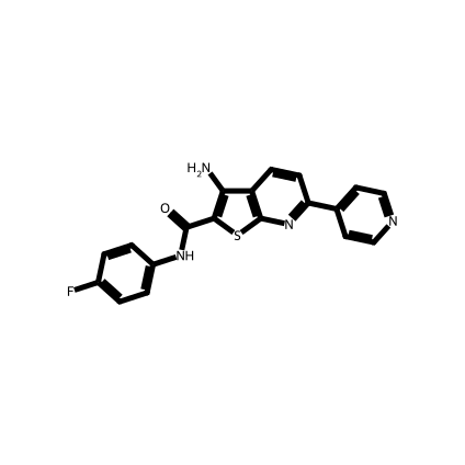 Nc1c(C(=O)Nc2ccc(F)cc2)sc2nc(-c3ccncc3)ccc12